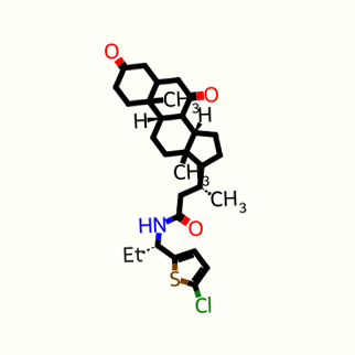 CC[C@H](NC(=O)C[C@@H](C)C1CC[C@H]2C3C(=O)CC4CC(=O)CCC4(C)[C@H]3CCC12C)c1ccc(Cl)s1